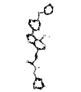 Nc1ncc(C=CC(=O)NCc2ccccn2)c2scc(-c3ccc(Oc4ccccc4)cc3)c12